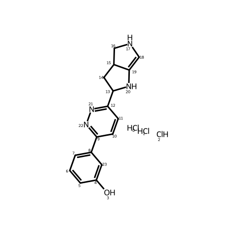 Cl.Cl.Cl.Oc1cccc(-c2ccc(C3CC4CNC=C4N3)nn2)c1